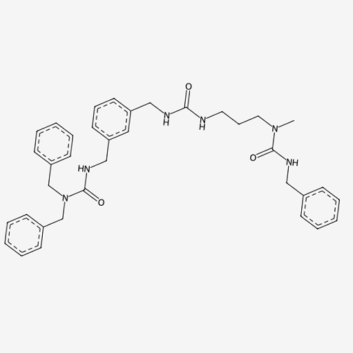 CN(CCCNC(=O)NCc1cccc(CNC(=O)N(Cc2ccccc2)Cc2ccccc2)c1)C(=O)NCc1ccccc1